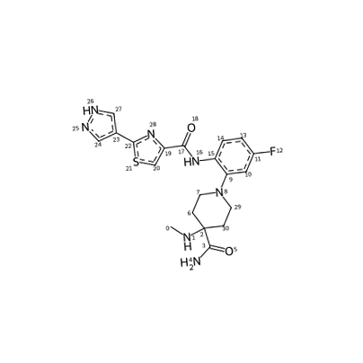 CNC1(C(N)=O)CCN(c2cc(F)ccc2NC(=O)c2csc(-c3cn[nH]c3)n2)CC1